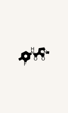 Cc1ccc(NC(=O)C2CCN(C)C2=O)cc1F